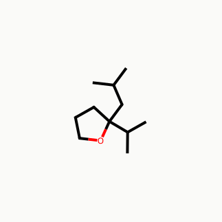 CC(C)CC1(C(C)C)CCCO1